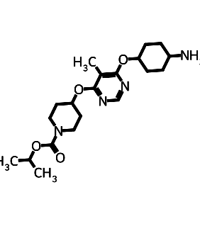 Cc1c(OC2CCC(N)CC2)ncnc1OC1CCN(C(=O)OC(C)C)CC1